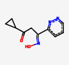 O=C(CC(=NO)c1cccnn1)C1CC1